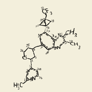 Cc1cc(C2CC(c3cc4nc(C)c(C)nc4c([C@]45C[C@@](C(F)(F)F)(C4)C5)n3)CCO2)ccn1